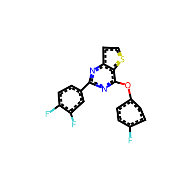 Fc1ccc(Oc2nc(-c3ccc(F)c(F)c3)nc3ccsc23)cc1